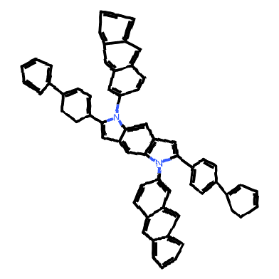 C1=CCCC(c2ccc(-c3cc4cc5c(cc(C6=CC=C(c7ccccc7)CC6)n5-c5ccc6cc7ccccc7cc6c5)cc4n3-c3ccc4cc5ccccc5cc4c3)cc2)=C1